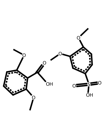 COc1ccc(S(=O)(=O)O)cc1OC.COc1cccc(OC)c1C(=O)O